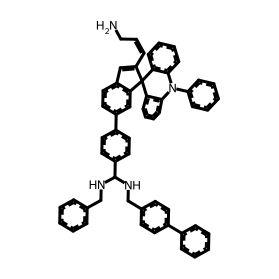 NC/C=C\C1=Cc2ccc(-c3ccc(C(NCc4ccccc4)NCc4ccc(-c5ccccc5)cc4)cc3)cc2C12c1ccccc1N(c1ccccc1)c1ccccc12